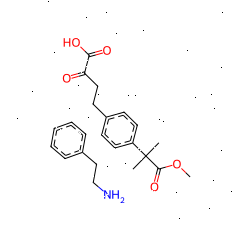 COC(=O)C(C)(C)c1ccc(CCC(=O)C(=O)O)cc1.NCCc1ccccc1